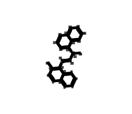 Cc1ccc2ccccc2c1N=NN(C)c1cccc2ccccc12